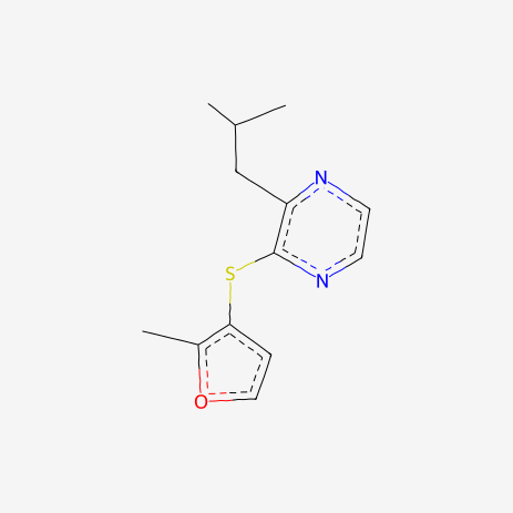 Cc1occc1Sc1nccnc1CC(C)C